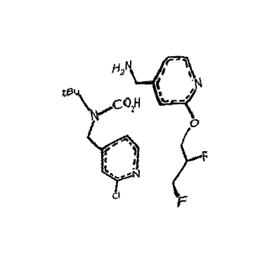 CC(C)(C)N(Cc1ccnc(Cl)c1)C(=O)O.NCc1ccnc(OCC(F)CF)c1